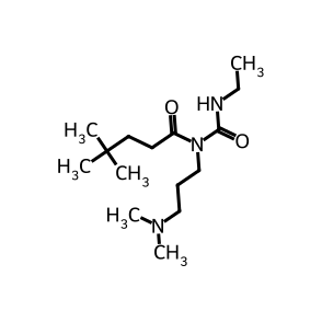 CCNC(=O)N(CCCN(C)C)C(=O)CCC(C)(C)C